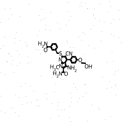 Cn1c(C(N)=O)c(N)c2c(-c3ccc(OCCO)cc3)c(C#N)c(SCc3cccc(C(N)=O)c3)nc21